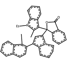 CCn1c(C)c(C2(c3cc(-c4ccc5ccccc5c4C)c4ccccn34)OC(=O)c3ccccc32)c2ccccc21